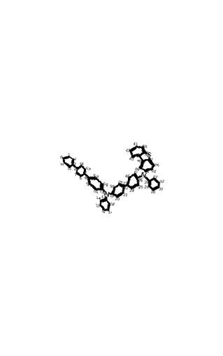 c1ccc(-c2ccc(-c3ccc(N(c4ccccc4)c4ccc(-c5ccc(N(c6ccccc6)c6ccc7sc8ccccc8c7c6)cc5)cc4)cc3)cc2)cc1